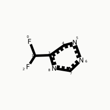 FC(F)c1[c]nncn1